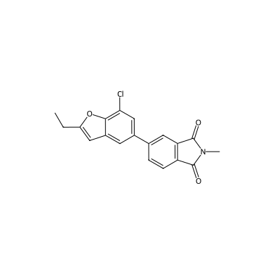 CCc1cc2cc(-c3ccc4c(c3)C(=O)N(C)C4=O)cc(Cl)c2o1